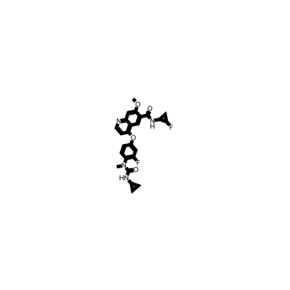 COc1cc2nccc(Oc3ccc(N(C)C(=O)NC4CC4)c(F)c3)c2cc1C(=O)NC1CC1F